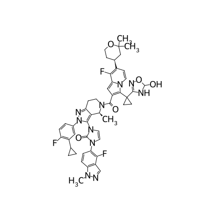 C[C@H]1c2c(nn(-c3ccc(F)c(C4CC4)c3)c2-n2ccn(-c3ccc4c(cnn4C)c3F)c2=O)CCN1C(=O)c1cc2c(F)c([C@H]3CCOC(C)(C)C3)ccn2c1C1(C2=NOC(O)N2)CC1